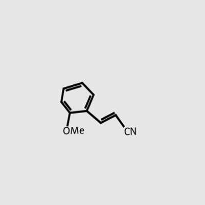 COc1ccccc1C=CC#N